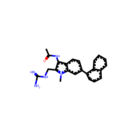 CC(=O)Nc1c(CNC(=N)N)n(C)c2cc(-c3cccc4ccccc34)ccc12